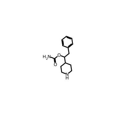 NC(=O)OC(Cc1ccccc1)C1CCNCC1